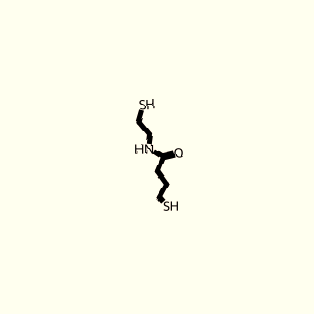 O=C(CCCS)NCCS